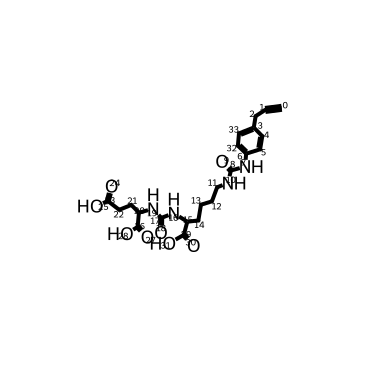 C#CCc1ccc(NC(=O)NCCCCC(NC(=O)NC(CCC(=O)O)C(=O)O)C(=O)O)cc1